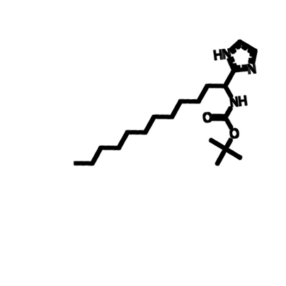 CCCCCCCCCCCC(NC(=O)OC(C)(C)C)c1ncc[nH]1